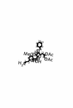 C=CCC1CCC2(OC)O[C@@H]3[C@@H](OC(C[C@H](COC(C)=O)OC(C)=O)[C@@H]3OCc3ccccc3)[C@H](O)[C@H]2O1